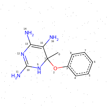 CC1(Oc2ccccc2)NC(N)=NC(N)=C1N